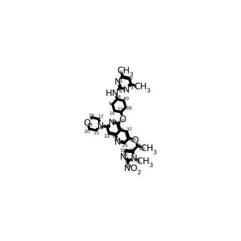 Cc1cc(C)nc(NC2CCC(Oc3nc(N4CCOCC4)cc4ncc(OC(C)c5cnc([N+](=O)[O-])n5C)cc34)CC2)n1